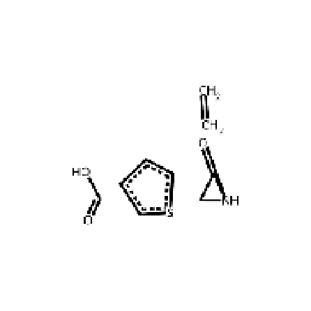 C=C.O=C1CN1.O=CO.c1ccsc1